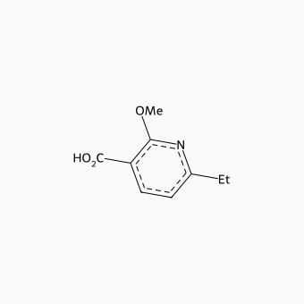 CCc1ccc(C(=O)O)c(OC)n1